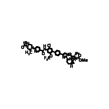 COC(=O)N[C@H](C(=O)N1[C@@H]2C[C@@H]2CC[C@H]1c1nc(-c2ccc(-c3cc(Cl)c(NC(=O)c4ccc(N5CCN(C(=O)C(C)(C)C)C[C@H]5C)nc4)cc3OC(F)(F)F)cc2)c[nH]1)C(C)C